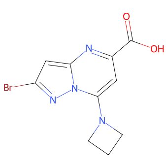 O=C(O)c1cc(N2CCC2)n2nc(Br)cc2n1